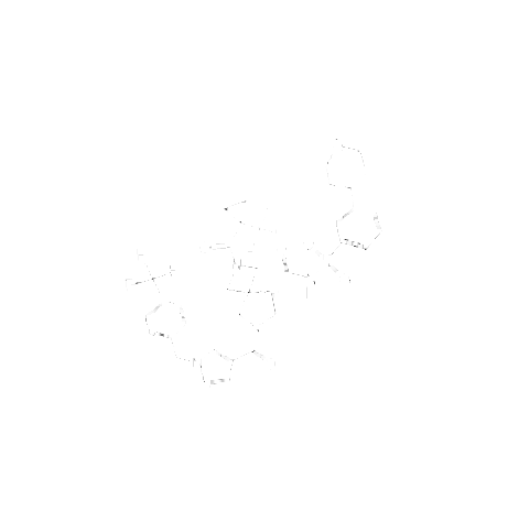 O=C(NS(=O)(=O)c1cccc(C2CCOCC2)c1)[C@@H]1CN(C(=O)c2cnn(Cc3ccc(C(F)(F)F)cc3)c2)CC12CN(C(=O)C1(C(F)(F)F)CC1)C2